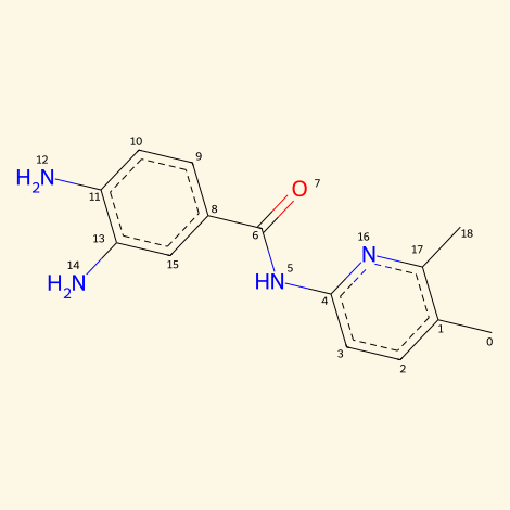 Cc1ccc(NC(=O)c2ccc(N)c(N)c2)nc1C